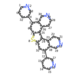 c1cncc(-c2cc3sc4cc(-c5cccnc5)c5cnccc5c4c3c3ccncc23)c1